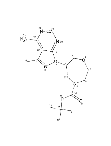 Cc1nn(C2COCCN(C(=O)OC(C)(C)C)C2)c2ncnc(N)c12